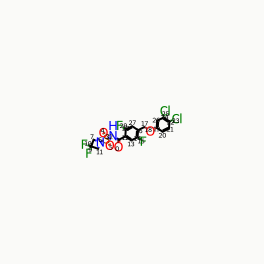 O=C(NS(=O)(=O)N1CC(F)(F)C1)c1cc(F)c(COc2ccc(Cl)c(Cl)c2)cc1F